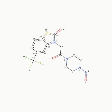 O=NN1CCN(C(=O)Cn2c(=O)sc3ccc(C(F)(F)F)cc32)CC1